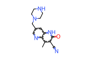 Cc1c(C#N)c(=O)[nH]c2cc(CN3CCNCC3)cnc12